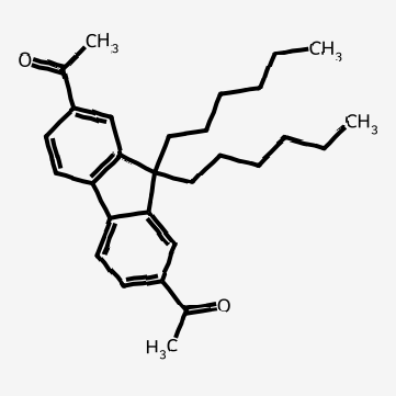 CCCCCCC1(CCCCCC)c2cc(C(C)=O)ccc2-c2ccc(C(C)=O)cc21